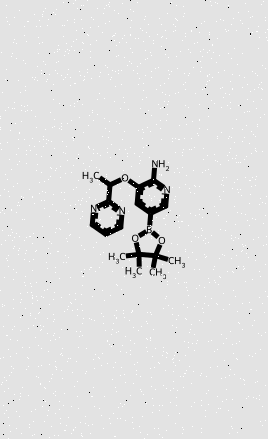 CC(Oc1cc(B2OC(C)(C)C(C)(C)O2)cnc1N)c1ncccn1